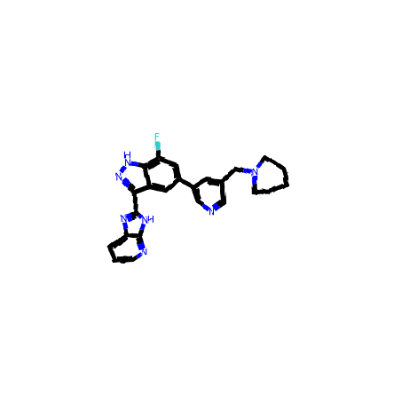 Fc1cc(-c2cncc(CN3CCCCC3)c2)cc2c(-c3nc4cccnc4[nH]3)n[nH]c12